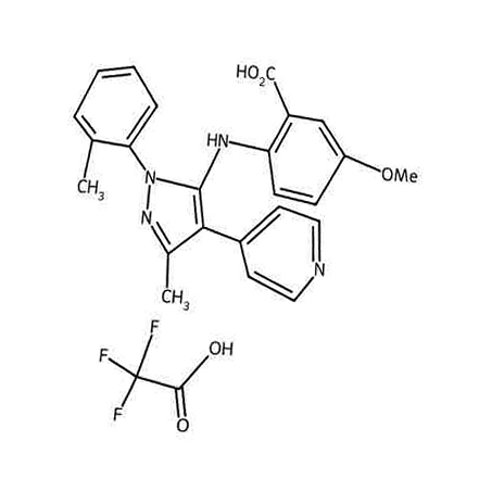 COc1ccc(Nc2c(-c3ccncc3)c(C)nn2-c2ccccc2C)c(C(=O)O)c1.O=C(O)C(F)(F)F